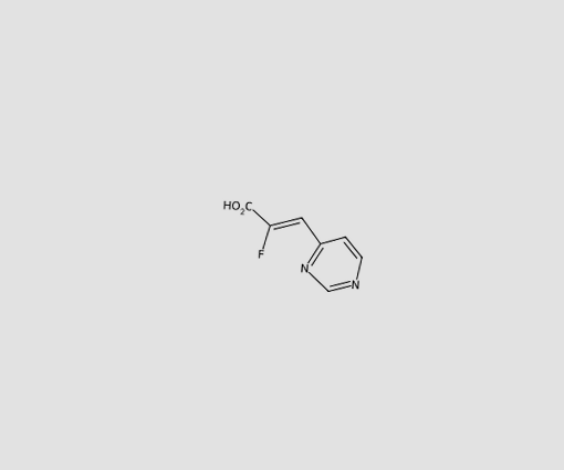 O=C(O)/C(F)=C/c1ccncn1